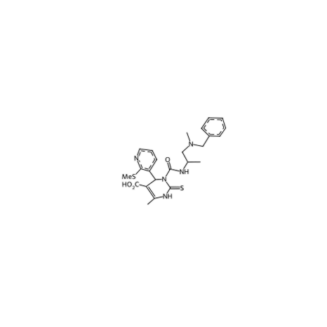 CSc1ncccc1C1C(C(=O)O)=C(C)NC(=S)N1C(=O)NC(C)CN(C)Cc1ccccc1